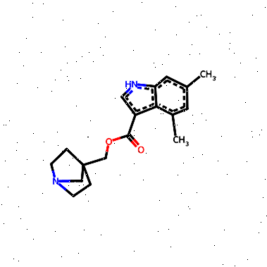 Cc1cc(C)c2c(C(=O)OCC34CCN(CC3)C4)c[nH]c2c1